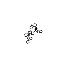 c1ccc(-c2nc(-c3ccccc3)nc(-c3cccc4sc5ccc(-c6ccc7c(c6)c6ccccc6n7-c6cccc7c6sc6ccccc67)cc5c34)n2)cc1